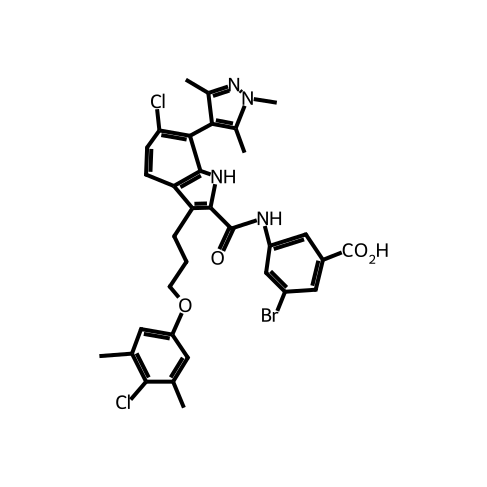 Cc1cc(OCCCc2c(C(=O)Nc3cc(Br)cc(C(=O)O)c3)[nH]c3c(-c4c(C)nn(C)c4C)c(Cl)ccc23)cc(C)c1Cl